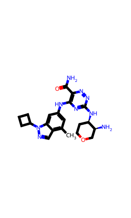 Cc1cc(Nc2nc(N[C@@H]3CCOC[C@@H]3N)nnc2C(N)=O)cc2c1cnn2C1CCC1